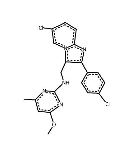 COc1cc(C)nc(NCc2c(-c3ccc(Cl)cc3)nc3ccc(Cl)cn23)n1